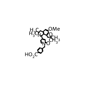 COc1cc2c(c3c1OC(C)(C)C3)C(c1ccn(Cc3ccc(C(=O)O)cc3)c(=O)c1)=NC(C)(C)C2